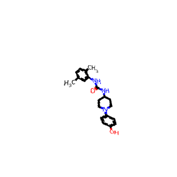 Cc1ccc(C)c(NC(=O)NC2CCN(c3ccc(O)cc3)CC2)c1